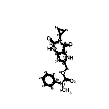 CN(C(=O)OCc1nc2[nH]c(=O)n(C3CC3)c(=O)c2[nH]1)c1ccccc1